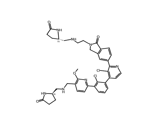 COc1nc(-c2cccc(-c3ccnc(-c4ccc5c(c4)CN(CCNC[C@@H]4CCC(=O)N4)C5=O)c3Cl)c2Cl)ccc1CNC[C@H]1CCC(=O)N1